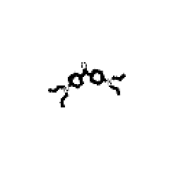 CCCN(CCC)c1ccc(C(=O)c2ccc(N(CCC)CCC)cc2)cc1